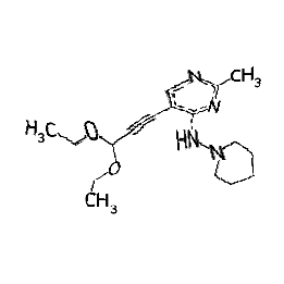 CCOC(C#Cc1cnc(C)nc1NN1CCCCC1)OCC